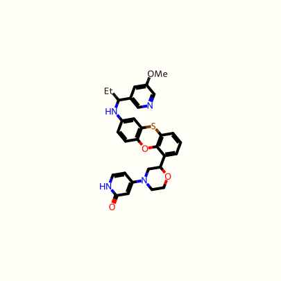 CCC(Nc1ccc2c(c1)Sc1cccc(C3CN(c4cc[nH]c(=O)c4)CCO3)c1O2)c1cncc(OC)c1